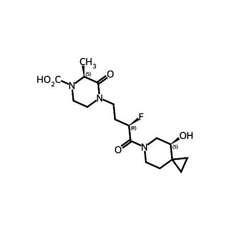 C[C@H]1C(=O)N(CC[C@@H](F)C(=O)N2CCC3(CC3)[C@H](O)C2)CCN1C(=O)O